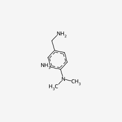 CN(C)c1ccc(CN)cc1.N